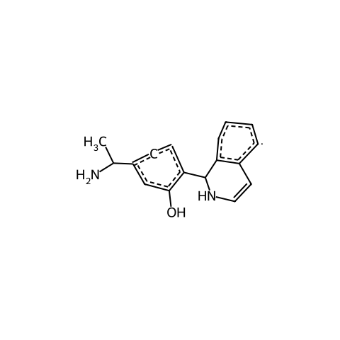 CC(N)c1ccc(C2NC=Cc3[c]cccc32)c(O)c1